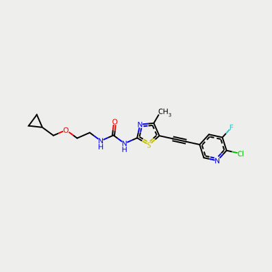 Cc1nc(NC(=O)NCCOCC2CC2)sc1C#Cc1cnc(Cl)c(F)c1